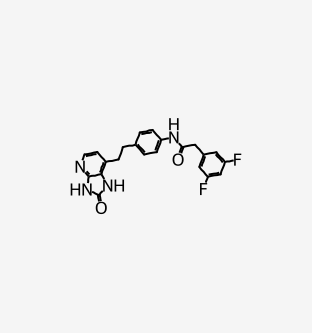 O=C(Cc1cc(F)cc(F)c1)Nc1ccc(CCc2ccnc3[nH]c(=O)[nH]c23)cc1